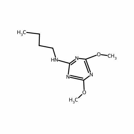 CCCCNc1nc(OC)nc(OC)n1